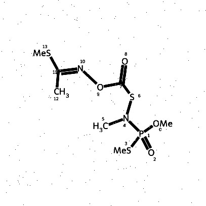 COP(=O)(SC)N(C)SC(=O)ON=C(C)SC